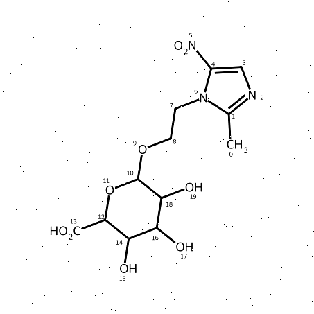 Cc1ncc([N+](=O)[O-])n1CCOC1OC(C(=O)O)C(O)C(O)C1O